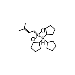 CC(C)=C[CH]=[Ru]([Cl])([Cl])[PH](C1CCCC1)(C1CCCC1)C1CCCC1